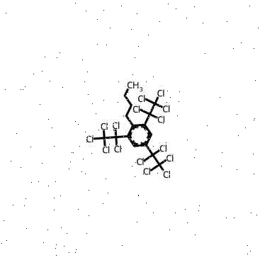 CCC[CH]c1c(C(Cl)(Cl)C(Cl)(Cl)Cl)cc(C(Cl)(Cl)C(Cl)(Cl)Cl)cc1C(Cl)(Cl)C(Cl)(Cl)Cl